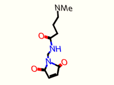 CNCCCC(=O)NCN1C(=O)C=CC1=O